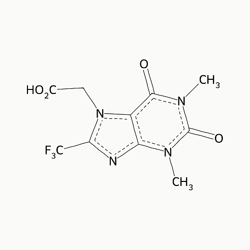 Cn1c(=O)c2c(nc(C(F)(F)F)n2CC(=O)O)n(C)c1=O